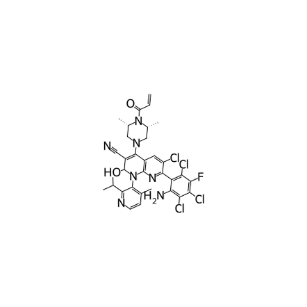 C=CC(=O)N1[C@H](C)CN(C2=C(C#N)C(O)N(c3c(C)ccnc3C(C)C)c3nc(-c4c(N)c(Cl)c(Cl)c(F)c4Cl)c(Cl)cc32)C[C@@H]1C